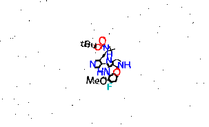 COc1c(F)cccc1Nc1c(-c2ccncc2C#CC2N(C(=O)OC(C)(C)C)CC2(C)C)[nH]c2c1C(=O)NCC2